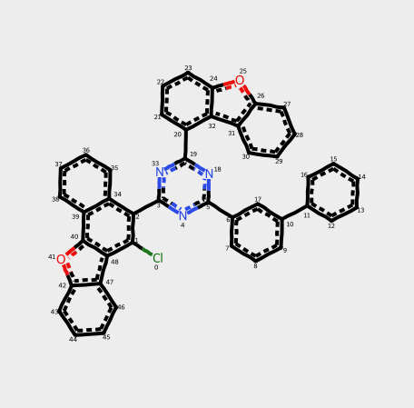 Clc1c(-c2nc(-c3cccc(-c4ccccc4)c3)nc(-c3cccc4oc5ccccc5c34)n2)c2ccccc2c2oc3ccccc3c12